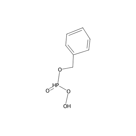 O=[PH](OO)OCc1ccccc1